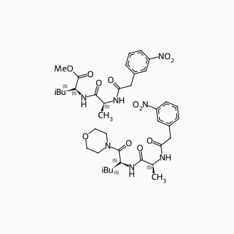 CC[C@H](C)[C@H](NC(=O)[C@H](C)NC(=O)Cc1cccc([N+](=O)[O-])c1)C(=O)N1CCOCC1.CC[C@H](C)[C@H](NC(=O)[C@H](C)NC(=O)Cc1cccc([N+](=O)[O-])c1)C(=O)OC